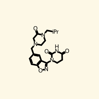 CC(C)CN1CCN(Cc2ccc3onc(N4CCC(=O)NC4=O)c3c2)CC1=O